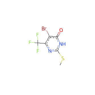 CSc1nc(C(F)(F)F)c(Br)c(=O)[nH]1